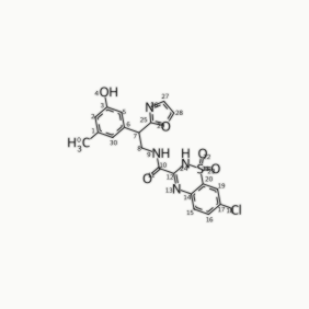 Cc1cc(O)cc(C(CNC(=O)C2=Nc3ccc(Cl)cc3S(=O)(=O)N2)c2ncco2)c1